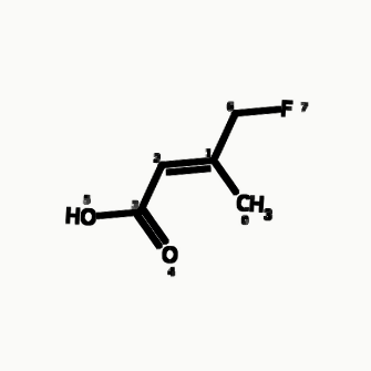 C/C(=C\C(=O)O)CF